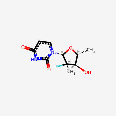 C[C@H]1O[C@@H](n2ccc(=O)[nH]c2=O)[C@](C)(F)[C@@H]1O